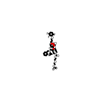 CC(C)(OC(=O)N1C2CC(c3ccc(CCCOc4c(F)ccc(F)c4F)cc3)=C(C(=O)N(Cc3ccccc3Cl)C3CC3)C1CN(C(=O)OCCOCCO[N+](=O)[O-])C2)C(Cl)(Cl)Cl